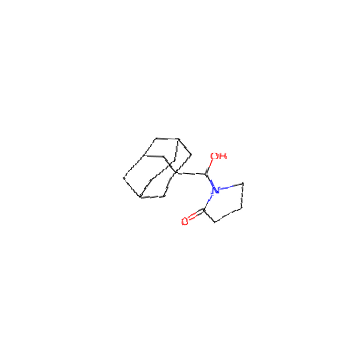 O=C1CCCN1C(O)C12CC3CC(CC(C3)C1)C2